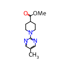 COC(=O)C1CCN(c2ncc(C)cn2)CC1